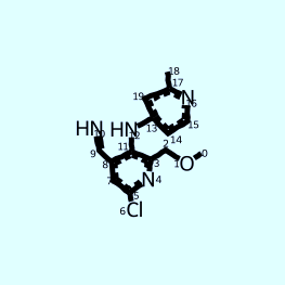 COCc1nc(Cl)cc(C=N)c1Nc1ccnc(C)c1